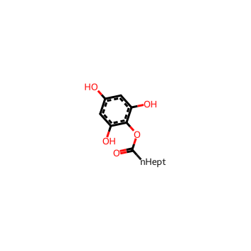 CCCCCCCC(=O)Oc1c(O)cc(O)cc1O